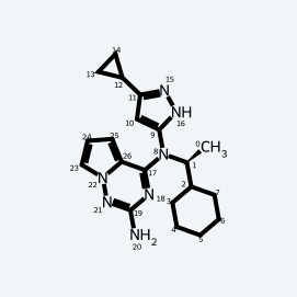 C[C@@H](C1CCCCC1)N(c1cc(C2CC2)n[nH]1)c1nc(N)nn2cccc12